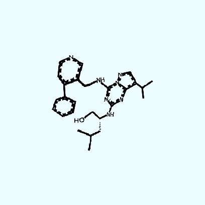 CC(C)C[C@H](CO)Nc1nc(NCc2cnccc2-c2ccccc2)n2ncc(C(C)C)c2n1